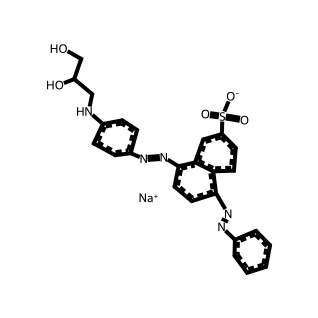 O=S(=O)([O-])c1ccc2c(N=Nc3ccccc3)ccc(N=Nc3ccc(NCC(O)CO)cc3)c2c1.[Na+]